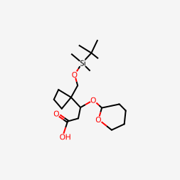 CC(C)(C)[Si](C)(C)OCC1(C(CC(=O)O)OC2CCCCO2)CCC1